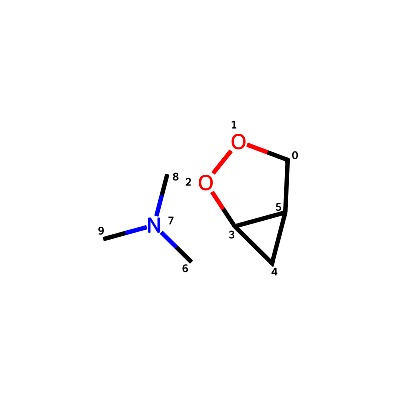 C1OOC2CC12.CN(C)C